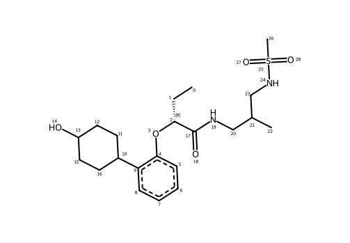 CC[C@@H](Oc1ccccc1C1CCC(O)CC1)C(=O)NCC(C)CNS(C)(=O)=O